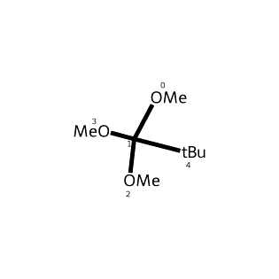 COC(OC)(OC)C(C)(C)C